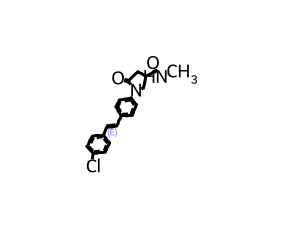 CNC(=O)C1CC(=O)N(c2ccc(/C=C/c3ccc(Cl)cc3)cc2)C1